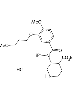 CCOC(=O)C1CCNCC1N(C(=O)c1ccc(OC)c(OCCCOC)c1)C(C)C.Cl